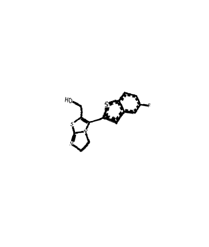 OCC1=C(c2cc3cc(F)ccc3s2)N2CCN=C2S1